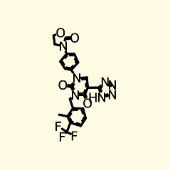 Cc1c(Cn2c(=O)c(-c3nnn[nH]3)cn(-c3ccc(N4CCOC4=O)cc3)c2=O)cccc1C(F)(F)F